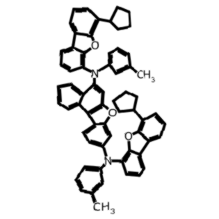 Cc1cccc(N(c2ccc3c(c2)oc2cc(N(c4cccc(C)c4)c4cccc5c4oc4c(C6CCCC6)cccc45)c4ccccc4c23)c2cccc3c2oc2c(C4CCCC4)cccc23)c1